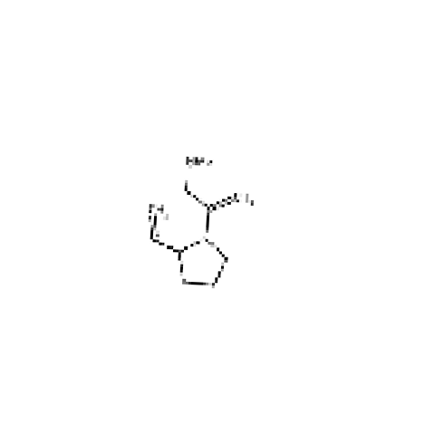 C=CC1CCCN1C(=C)CNC